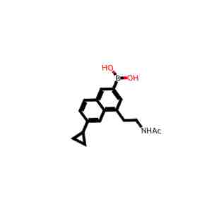 CC(=O)NCCc1cc(B(O)O)cc2ccc(C3CC3)cc12